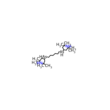 CC1(C)CC([AsH]CCCCCC[AsH]C2CC(C)(C)NC(C)(C)C2)CC(C)(C)N1